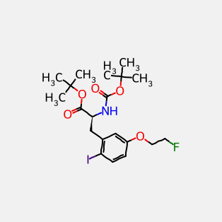 CC(C)(C)OC(=O)N[C@@H](Cc1cc(OCCF)ccc1I)C(=O)OC(C)(C)C